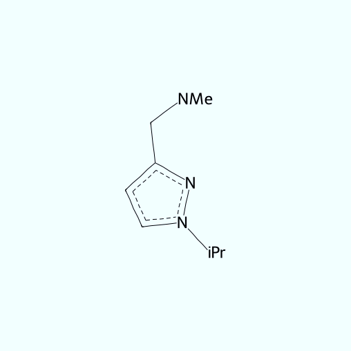 CNCc1ccn(C(C)C)n1